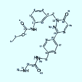 CCOC(=O)Nc1cccc(Cn2nc(-c3ccc(CNC(=O)CNC)cc3)ccc2=O)c1